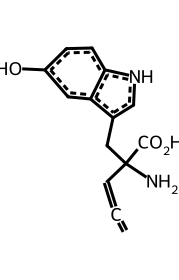 C=C=CC(N)(Cc1c[nH]c2ccc(O)cc12)C(=O)O